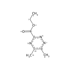 CCOC(=O)c1nnc(C)c(C)n1